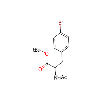 CC(=O)NC(Cc1ccc(Br)cc1)C(=O)OC(C)(C)C